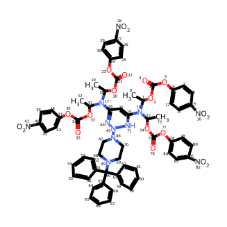 CC(OC(=O)Oc1ccc([N+](=O)[O-])cc1)N(C1=CC(N(C(C)OC(=O)Oc2ccc([N+](=O)[O-])cc2)C(C)OC(=O)Oc2ccc([N+](=O)[O-])cc2)=NN(N2CCN(C(c3ccccc3)(c3ccccc3)c3ccccc3)CC2)N1)C(C)OC(=O)Oc1ccc([N+](=O)[O-])cc1